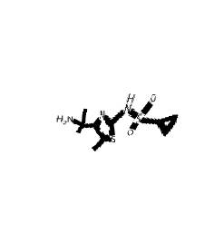 Cc1sc(NS(=O)(=O)C2CC2)nc1C(C)(C)N